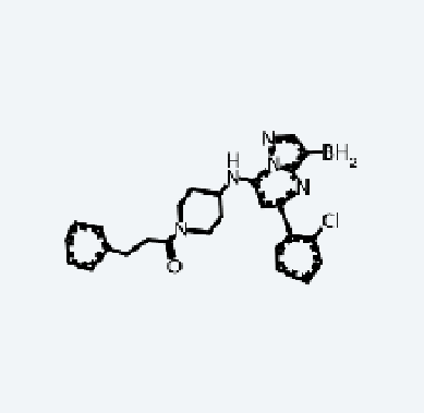 Bc1cnn2c(NC3CCN(C(=O)CCc4ccccc4)CC3)cc(-c3ccccc3Cl)nc12